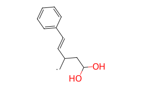 [CH2]C(C=Cc1ccccc1)CC(O)O